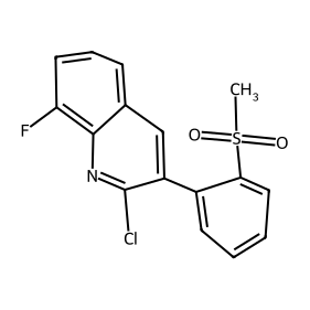 CS(=O)(=O)c1ccccc1-c1cc2cccc(F)c2nc1Cl